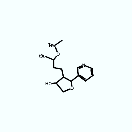 C[SiH](C)OC(CCC1C(O)COC1c1cccnc1)C(C)(C)C